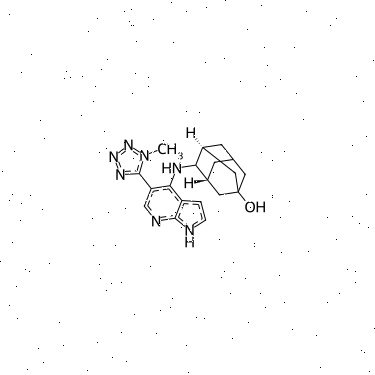 Cn1nnnc1-c1cnc2[nH]ccc2c1NC1[C@@H]2CC3C[C@H]1CC(O)(C3)C2